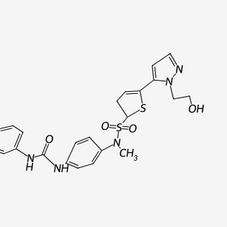 CN(c1ccc(NC(=O)Nc2ccccc2)cc1)S(=O)(=O)C1CC=C(c2ccnn2CCO)S1